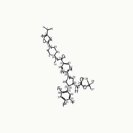 CC(C)c1noc(N2CCC(N(C)C(=O)c3cnc(N4C[C@H](NC(=O)OC(C)(C)C)[C@@H](c5cc(F)c(F)cc5F)C4)nc3)CC2)n1